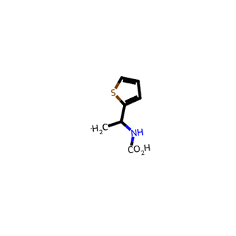 [CH2]C(NC(=O)O)c1cccs1